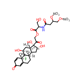 C[C@]12C=CC(=O)C=C1CC[C@H]1[C@@H]3C[C@@H](O)[C@](O)(C(=O)COC(=O)C(CO)NC(=O)CC(CO[N+](=O)[O-])O[N+](=O)[O-])[C@@]3(C)C[C@H](O)[C@@]12F